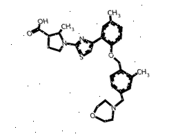 Cc1ccc(OCc2ccc(CN3CCOCC3)cc2C)c(-c2csc(N3CCC(C(=O)O)C3C)n2)c1